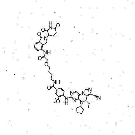 CC[C@@H]1c2c(C#N)ncn2-c2cnc(Nc3ccc(C(=O)NCCCCOCC(=O)Nc4cccc5c4CN(C4CCC(=O)NC4=O)C5=O)cc3OC)nc2N1C1CCCC1